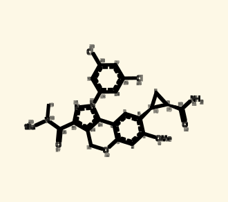 COc1cc2c(cc1[C@H]1C[C@H]1C(N)=O)-c1c(c(C(=O)N(C)C(C)(C)C)nn1-c1cc(Cl)cc(Cl)c1)CO2